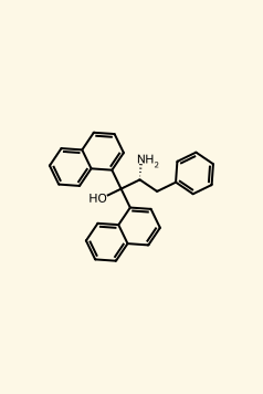 N[C@H](Cc1ccccc1)C(O)(c1cccc2ccccc12)c1cccc2ccccc12